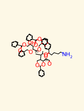 CC(OCCCCCN)C(C[C@@H](OCc1ccccc1)C(OCc1ccccc1)C(OC(=O)c1ccccc1)C(O)COC(=O)c1ccccc1)C1COC(c2ccccc2)OC1[C@@H](C=O)OCc1ccc2ccccc2c1